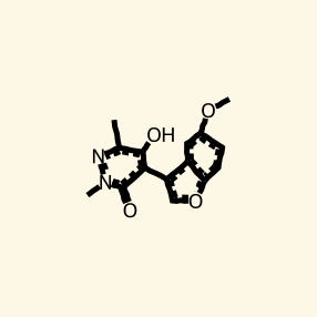 COc1ccc2occ(-c3c(O)c(C)nn(C)c3=O)c2c1